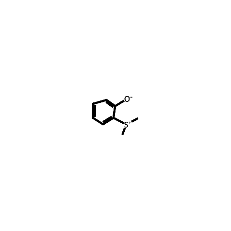 C[S+](C)c1ccccc1[O-]